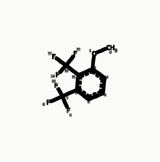 COc1cc[c]c(C(F)(F)F)c1C(F)(F)F